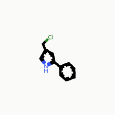 ClCc1c[nH]c(-c2ccccc2)c1